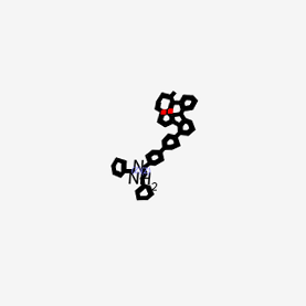 CC1=CC=CCC=C1c1ccccc1C1c2ccccc2-c2c(-c3ccc(-c4ccc(C(=C/CC5=CCCC=C5)/N=C(\N)C5=CCCC=C5)cc4)cc3)cccc21